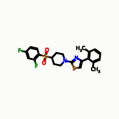 Cc1cccc(C)c1-c1csc(N2CCC(S(=O)(=O)c3ccc(F)cc3F)CC2)n1